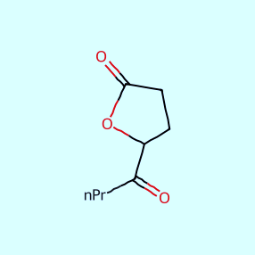 CCCC(=O)C1CCC(=O)O1